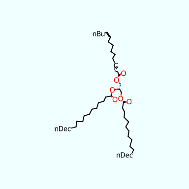 CCCC/C=C\CCCCCCCC(=O)OC[C@H](COC(=O)CCCCCCCCCCCCCCCCCCCC)OC(=O)CCCCCCCCCCCCCCCCCCCC